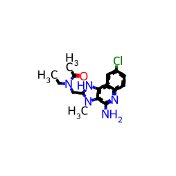 CCN(CC1Nc2c(c(N)nc3ccc(Cl)cc23)N1C)C(C)=O